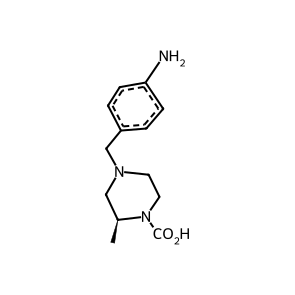 C[C@H]1CN(Cc2ccc(N)cc2)CCN1C(=O)O